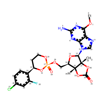 CCOc1nc(N)nc2c1ncn2[C@@H]1O[C@H](CO[P@]2(=O)OCC[C@H](c3ccc(Cl)cc3F)O2)[C@H]2OC(=O)O[C@]21C